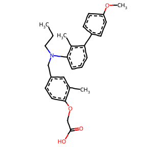 CCCN(Cc1ccc(OCC(=O)O)c(C)c1)c1cccc(-c2ccc(OC)cc2)c1C